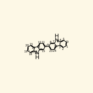 [c]1ccc2c(c1)[nH]c1cc(-c3ccc4c(c3)[nH]c3c[c]ccc34)ccc12